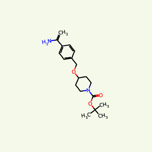 C=C(N)c1ccc(COC2CCN(C(=O)OC(C)(C)C)CC2)cc1